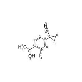 CC(O)c1ccc(C2(C#N)CC2)cc1F